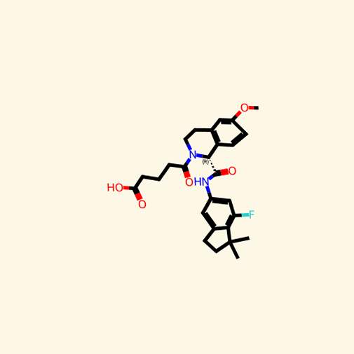 COc1ccc2c(c1)CCN(C(=O)CCCC(=O)O)[C@H]2C(=O)Nc1cc(F)c2c(c1)CCC2(C)C